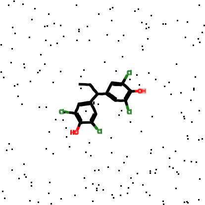 CCC(c1cc(Cl)c(O)c(Cl)c1)c1cc(Cl)c(O)c(Cl)c1